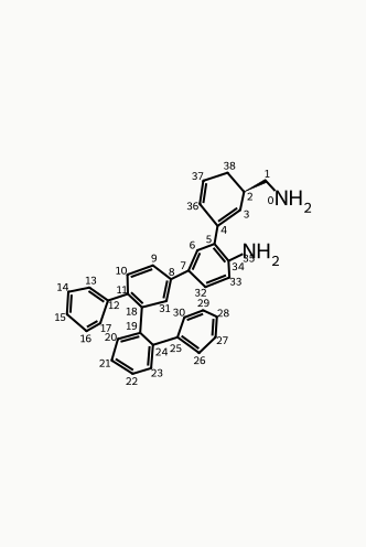 NC[C@H]1C=C(c2cc(-c3ccc(-c4ccccc4)c(-c4ccccc4-c4ccccc4)c3)ccc2N)C=CC1